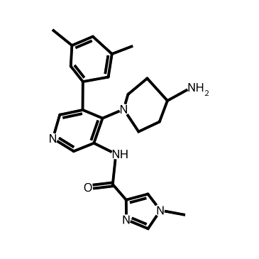 Cc1cc(C)cc(-c2cncc(NC(=O)c3cn(C)cn3)c2N2CCC(N)CC2)c1